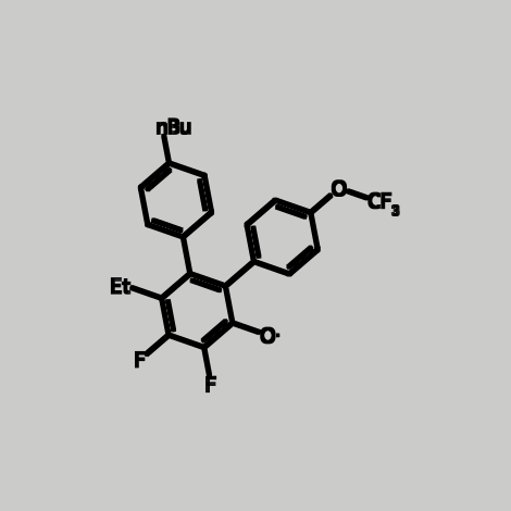 CCCCc1ccc(-c2c(CC)c(F)c(F)c([O])c2-c2ccc(OC(F)(F)F)cc2)cc1